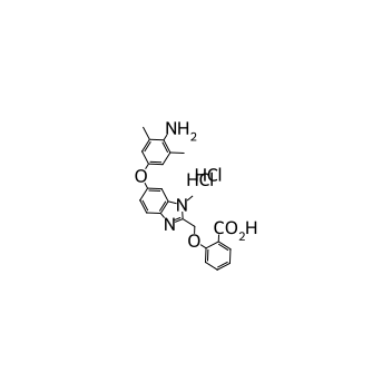 Cc1cc(Oc2ccc3nc(COc4ccccc4C(=O)O)n(C)c3c2)cc(C)c1N.Cl.Cl